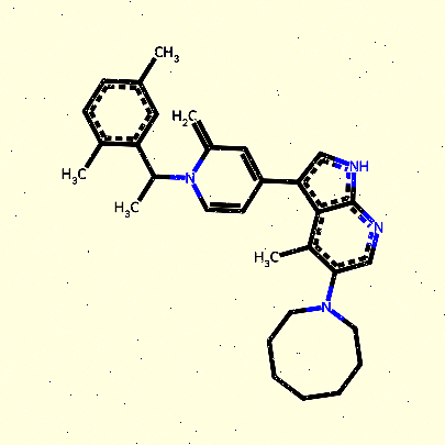 C=C1C=C(c2c[nH]c3ncc(N4CCCCCCC4)c(C)c23)C=CN1C(C)c1cc(C)ccc1C